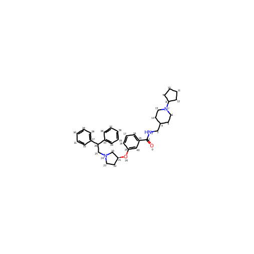 O=C(NCC1CCN(C2CCCC2)CC1)c1cccc(O[C@H]2CCN(CC(c3ccccc3)c3ccccc3)C2)c1